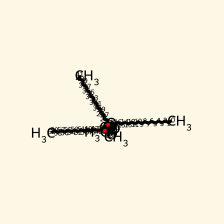 CCCCCCCCCCCCCCCCCC(=O)[O][Ti](=[O])([O]C(=O)CCCCCCCCCCCCCCCCC)([C](=O)CCCCCCCCCCCCCCCCC)[CH](C)C